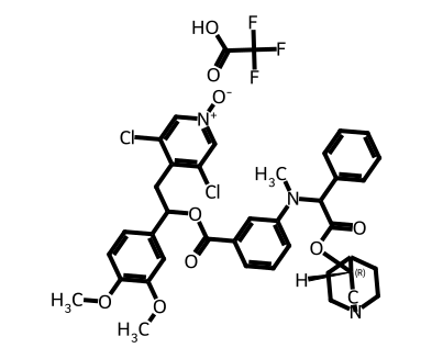 COc1ccc(C(Cc2c(Cl)c[n+]([O-])cc2Cl)OC(=O)c2cccc(N(C)C(C(=O)O[C@H]3CN4CCC3CC4)c3ccccc3)c2)cc1OC.O=C(O)C(F)(F)F